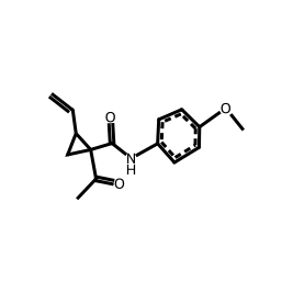 C=CC1CC1(C(C)=O)C(=O)Nc1ccc(OC)cc1